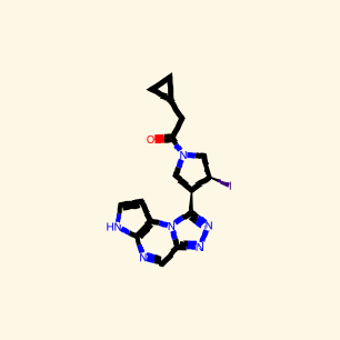 O=C(CC1CC1)N1C[C@@H](I)[C@@H](c2nnc3cnc4[nH]ccc4n23)C1